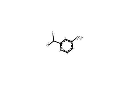 CCC(Cl)c1cc(C(=O)O)ccn1